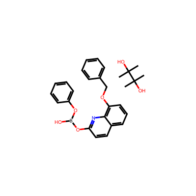 CC(C)(O)C(C)(C)O.OB(Oc1ccccc1)Oc1ccc2cccc(OCc3ccccc3)c2n1